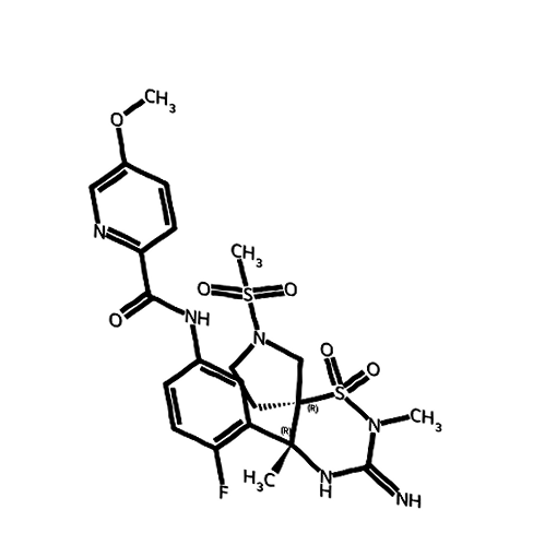 COc1ccc(C(=O)Nc2ccc(F)c([C@@]3(C)NC(=N)N(C)S(=O)(=O)[C@@]34CCN(S(C)(=O)=O)C4)c2)nc1